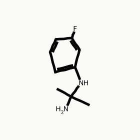 CC(C)(N)Nc1cccc(F)c1